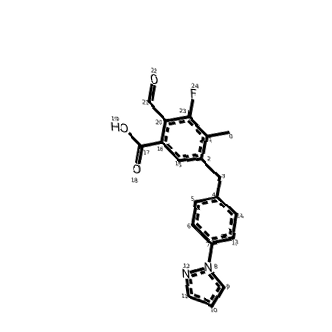 Cc1c(Cc2ccc(-n3cccn3)cc2)cc(C(=O)O)c(C=O)c1F